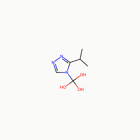 CC(C)c1nncn1C(O)(O)O